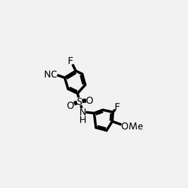 COc1ccc(NS(=O)(=O)c2ccc(F)c(C#N)c2)cc1F